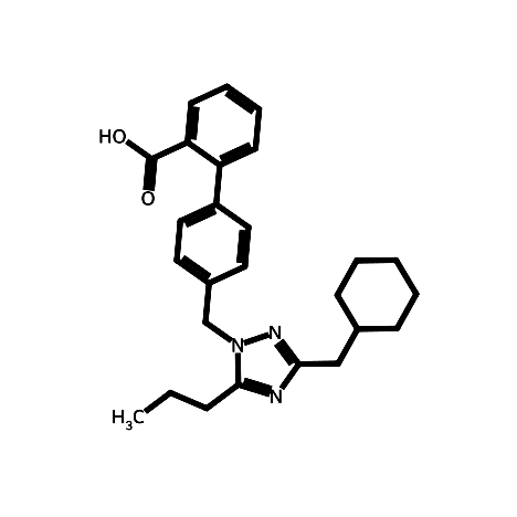 CCCc1nc(CC2CCCCC2)nn1Cc1ccc(-c2ccccc2C(=O)O)cc1